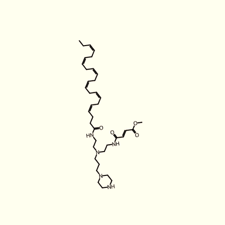 CC/C=C\C/C=C\C/C=C\C/C=C\C/C=C\C/C=C\CCC(=O)NCCN(CCCN1CCNCC1)CCNC(=O)/C=C/C(=O)OC